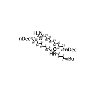 CCCCC=CCCNC(=O)CCCCCCCCCCCCCCCCCCCC.CCCCCCCCCCCCCCCCCCCCC(N)=O